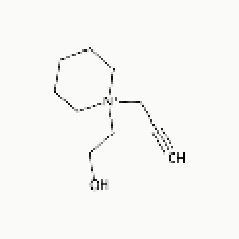 C#CC[N+]1(CCO)CCCCC1